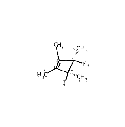 CC1=C(C)[C@@](C)(F)[C@@]1(C)F